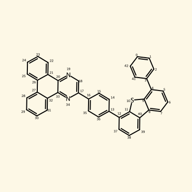 c1ccc(-c2cccc3c2sc2c(-c4ccc(-c5cnc6c7ccccc7c7ccccc7c6n5)cc4)cccc23)cc1